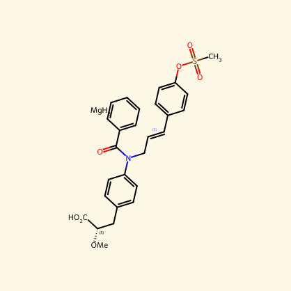 CO[C@@H](Cc1ccc(N(C/C=C/c2ccc(OS(C)(=O)=O)cc2)C(=O)c2ccccc2)cc1)C(=O)O.[MgH2]